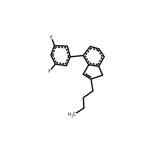 CCCCC1=Cc2c(cccc2-c2cc(F)cc(F)c2)[CH]1